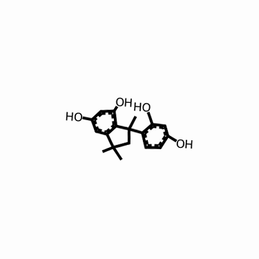 CC1(C)CC(C)(c2ccc(O)cc2O)c2c(O)cc(O)cc21